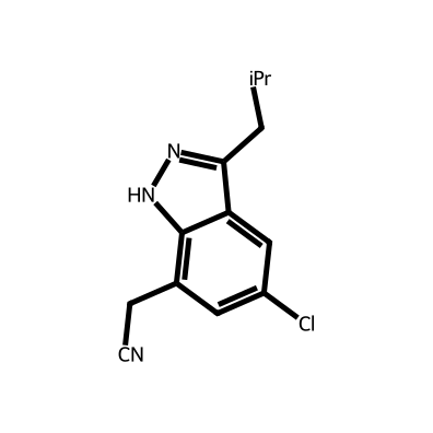 CC(C)Cc1n[nH]c2c(CC#N)cc(Cl)cc12